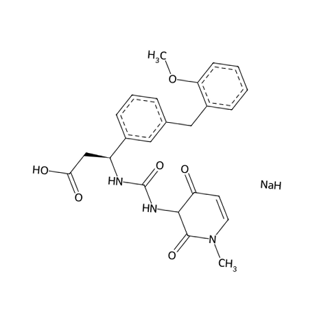 COc1ccccc1Cc1cccc([C@H](CC(=O)O)NC(=O)NC2C(=O)C=CN(C)C2=O)c1.[NaH]